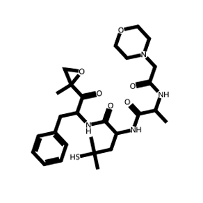 CC(NC(=O)CN1CCOCC1)C(=O)NC(CC(C)(C)S)C(=O)NC(Cc1ccccc1)C(=O)C1(C)CO1